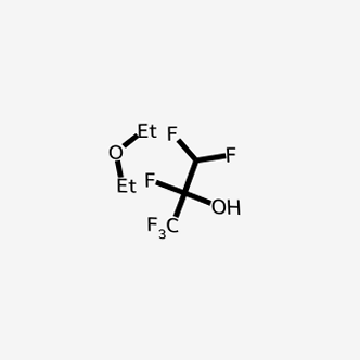 CCOCC.OC(F)(C(F)F)C(F)(F)F